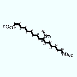 CCCCCCCC/C=C\CCCCCCCC(CCCCCCCCCCCCCCCC)N(C)C